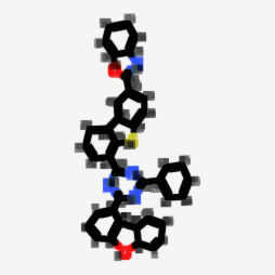 C1=CC2Oc3cccc(-c4nc(-c5ccccc5)nc(-c5cccc6c5sc5ccc(-c7nc8ccccc8o7)cc56)n4)c3C2C=C1